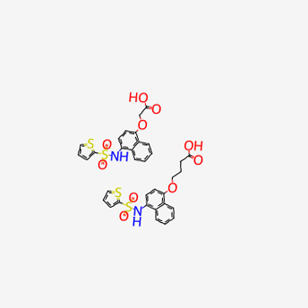 O=C(O)CCCOc1ccc(NS(=O)(=O)c2cccs2)c2ccccc12.O=C(O)COc1ccc(NS(=O)(=O)c2cccs2)c2ccccc12